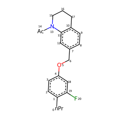 CCCc1ccc(OCc2ccc3c(c2)N(C(C)=O)CCC3)cc1F